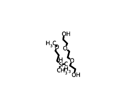 COCCC[SiH](C)C.OCCOCCOCCO